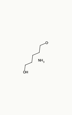 N.[O]CCCCCO